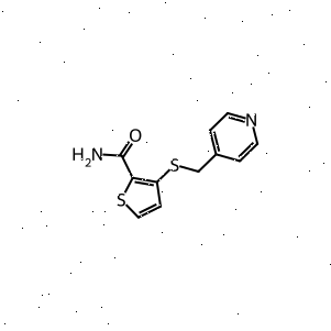 NC(=O)c1sccc1SCc1ccncc1